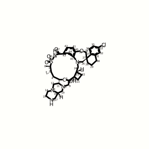 C[C@@H]1[C@@H](C)CCC[C@@](O)(CN2CCN3CCNC[C@H]3C2)[C@@H]2CC[C@H]2CN2C[C@@]3(CCCc4cc(Cl)ccc43)COc3ccc(cc32)C(=O)NS1(=O)=O